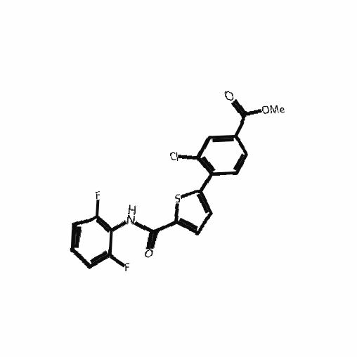 COC(=O)c1ccc(-c2ccc(C(=O)Nc3c(F)cccc3F)s2)c(Cl)c1